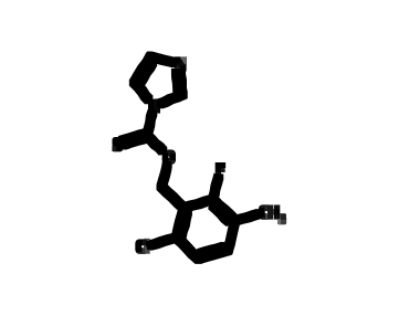 Cc1ccc(Cl)c(COC(=S)n2ccnc2)c1F